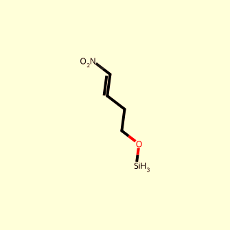 O=[N+]([O-])C=CCCO[SiH3]